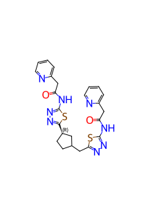 O=C(Cc1ccccn1)Nc1nnc(CC2CC[C@@H](c3nnc(NC(=O)Cc4ccccn4)s3)C2)s1